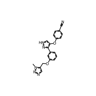 Cn1nncc1COc1cccc(-c2n[nH]cc2Oc2ccc(C#N)cc2)c1